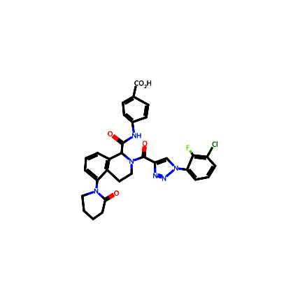 O=C(O)c1ccc(NC(=O)C2c3cccc(N4CCCCC4=O)c3CCN2C(=O)c2cn(-c3cccc(Cl)c3F)nn2)cc1